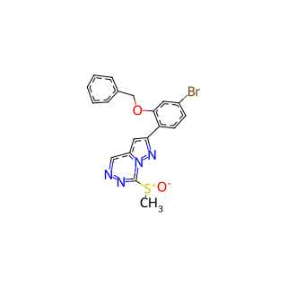 C[S+]([O-])c1nncc2cc(-c3ccc(Br)cc3OCc3ccccc3)nn12